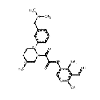 C[C@H]1CC[C@H](c2cccc(CN(C)C)c2)N(C(=O)C(=O)Nc2cnc(N)c(C=N)c2N)C1